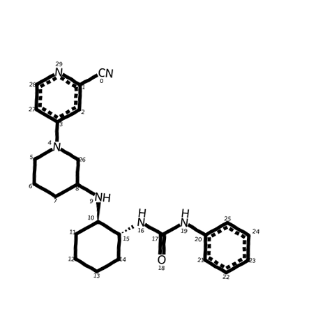 N#Cc1cc(N2CCCC(N[C@@H]3CCCC[C@H]3NC(=O)Nc3ccccc3)C2)ccn1